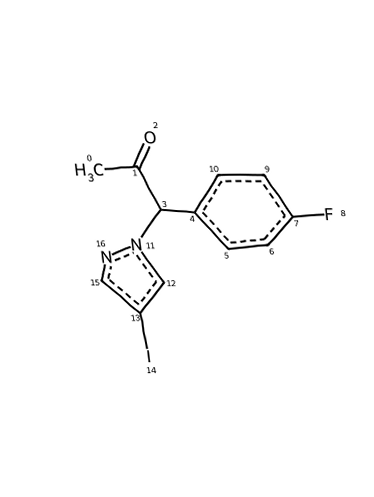 CC(=O)C(c1ccc(F)cc1)n1cc(I)cn1